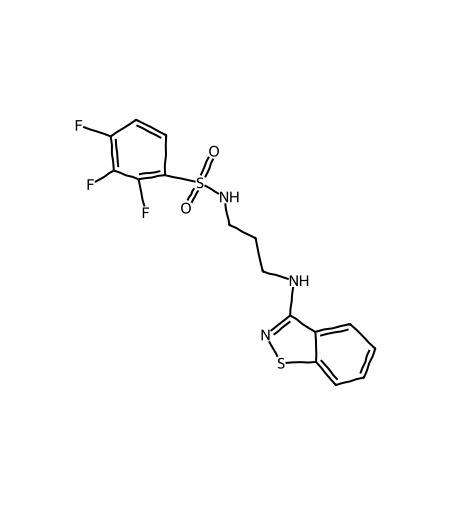 O=S(=O)(NCCCNc1nsc2ccccc12)c1ccc(F)c(F)c1F